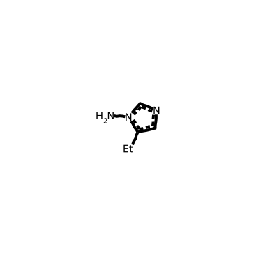 CCc1cncn1N